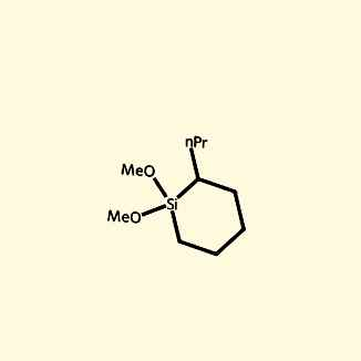 CCCC1CCCC[Si]1(OC)OC